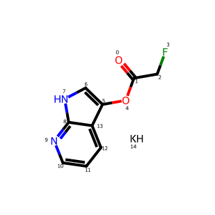 O=C(CF)Oc1c[nH]c2ncccc12.[KH]